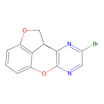 CC12COc3cccc(c31)Oc1ncc(Br)nc12